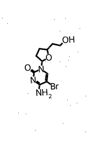 Nc1nc(=O)n(C2CCC(CCO)O2)cc1Br